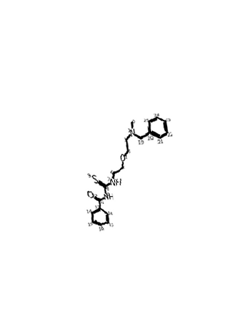 CN(CCOCCNC(=S)NC(=O)c1ccccc1)Cc1ccccc1